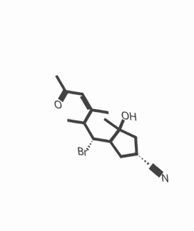 CC(=O)/C=C(/C)C(C)[C@@H](Br)C1C[C@@H](C#N)CC1(C)O